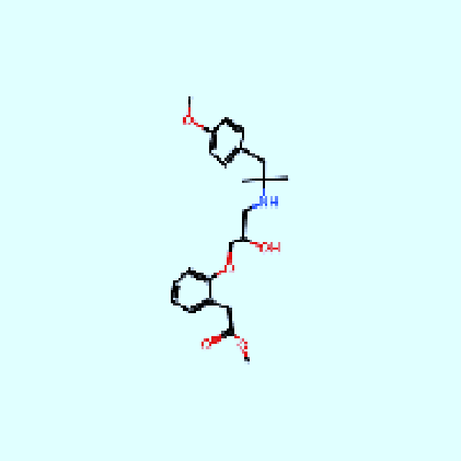 COC(=O)Cc1ccccc1OCC(O)CNC(C)(C)Cc1ccc(OC)cc1